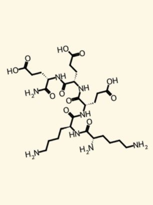 NCCCC[C@H](NC(=O)[C@@H](N)CCCCN)C(=O)N[C@@H](CCC(=O)O)C(=O)N[C@@H](CCC(=O)O)C(=O)N[C@@H](CCC(=O)O)C(N)=O